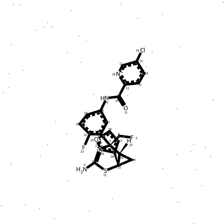 NC1=N[C@](CF)(c2cc(NC(=O)c3ccc(Cl)cn3)ccc2F)[C@@H]2C[C@]2(c2ccon2)S1